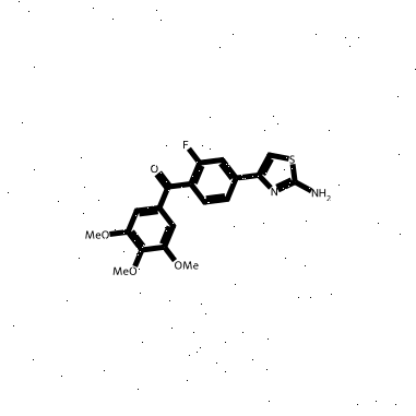 COc1cc(C(=O)c2ccc(-c3csc(N)n3)cc2F)cc(OC)c1OC